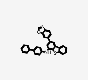 c1ccc(-c2ccc(Nc3cc(-c4ccc5ncoc5c4)cc4c3sc3ccccc34)cc2)cc1